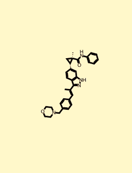 C/C(=C\c1ccc(CN2CCOCC2)cc1)c1n[nH]c2cc([C@@H]3C[C@@]3(C)C(=O)Nc3ccccc3)ccc12